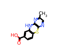 Cc1cnc2c(n1)Nc1cc(C(=O)O)ccc1S2